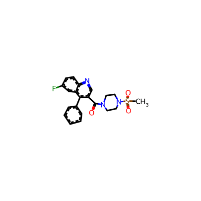 CS(=O)(=O)N1CCN(C(=O)c2cnc3ccc(F)cc3c2-c2ccccc2)CC1